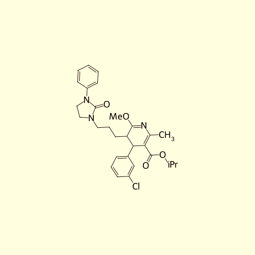 COC1=NC(C)=C(C(=O)OC(C)C)C(c2cccc(Cl)c2)C1CCCN1CCN(c2ccccc2)C1=O